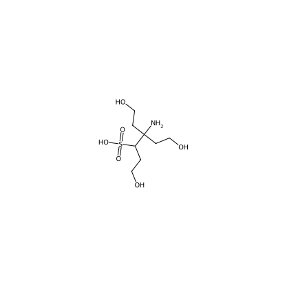 NC(CCO)(CCO)C(CCO)S(=O)(=O)O